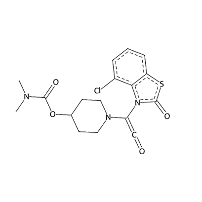 CN(C)C(=O)OC1CCN(C(=C=O)n2c(=O)sc3cccc(Cl)c32)CC1